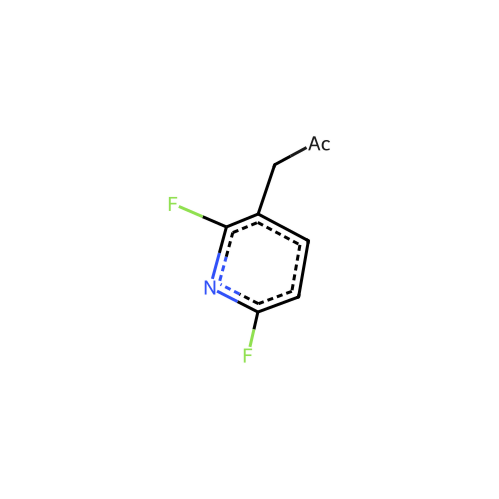 CC(=O)Cc1ccc(F)nc1F